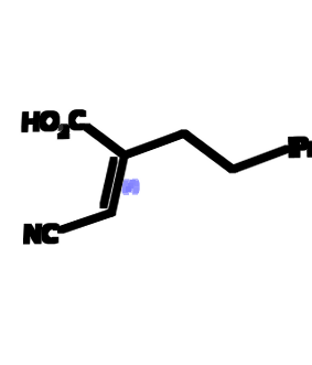 CC(C)CC/C(=C/C#N)C(=O)O